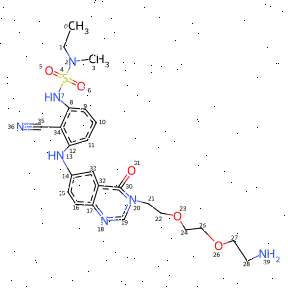 CCN(C)S(=O)(=O)Nc1cccc(Nc2ccc3ncn(CCOCCOCCN)c(=O)c3c2)c1C#N